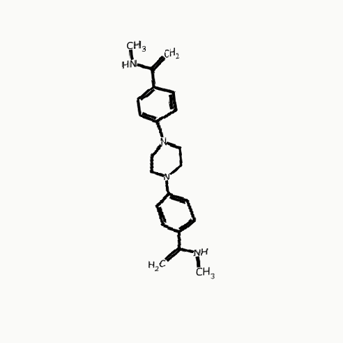 C=C(NC)c1ccc(N2CCN(c3ccc(C(=C)NC)cc3)CC2)cc1